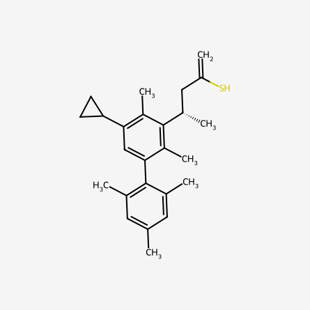 C=C(S)C[C@H](C)c1c(C)c(-c2c(C)cc(C)cc2C)cc(C2CC2)c1C